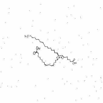 CCCCC/C=C\C/C=C\CCCCCCCC(=O)O.CCCCCCCCCCCCCCCCCCCCCCCC(=O)O